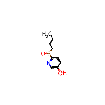 CCCC[S+]([O-])c1ccc(O)cn1